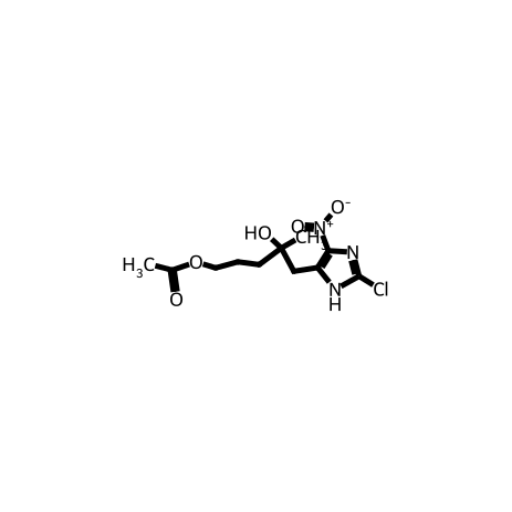 CC(=O)OCCCC(C)(O)Cc1[nH]c(Cl)nc1[N+](=O)[O-]